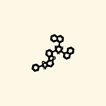 c1ccc(-c2nc3ccc4oc5c(-c6nc(-c7cccc8ccccc78)nc(-c7cccc8ccccc78)n6)cccc5c4c3o2)cc1